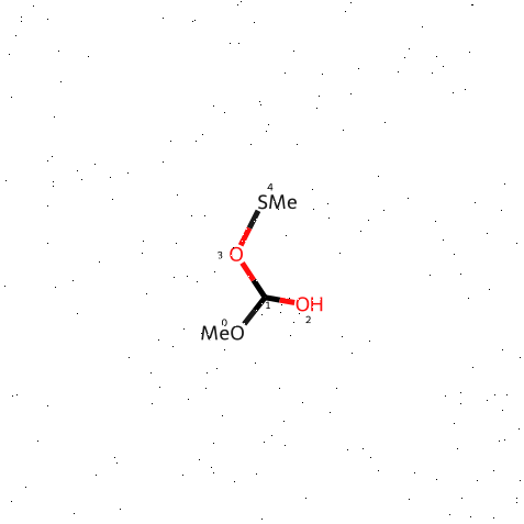 COC(O)OSC